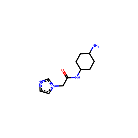 NC1CCC(NC(=O)Cn2ccnc2)CC1